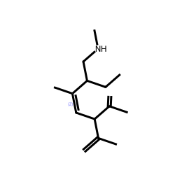 C=C(C)C(/C=C(/C)C(CC)CNC)C(=C)C